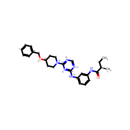 CC[C@@H](C)C(=O)Nc1cccc(Nc2ncnc(N3CCC(OCc4ccccc4)CC3)n2)c1